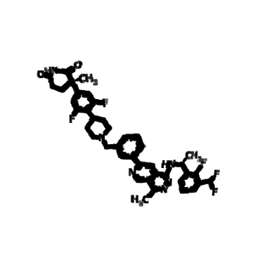 Cc1nnc(N[C@H](C)c2cccc(C(F)F)c2F)c2cc(-c3cccc(CN4CCC(c5c(F)cc([C@@]6(C)CCC(=O)NC6=O)cc5F)CC4)c3)ncc12